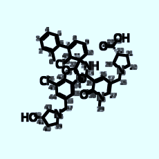 Cc1ccccc1C1=CC=CC(NC(=O)c2cc(CN3CC[C@@H](C(=O)O)C3)cn(C)c2=O)(c2nc3cc(CN4CC[C@@H](O)C4)cc(Cl)c3o2)C1Cl